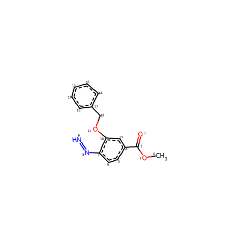 COC(=O)c1ccc(N=N)c(OCc2ccccc2)c1